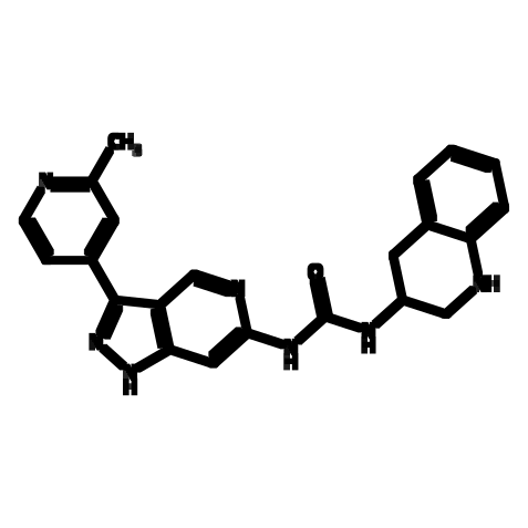 Cc1cc(-c2n[nH]c3cc(NC(=O)NC4CNc5ccccc5C4)ncc23)ccn1